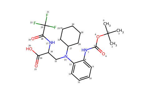 CC(C)(C)OC(=O)Nc1ccccc1N(CC(NC(=O)C(F)(F)F)C(=O)O)C1CCCCC1